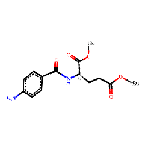 CC(C)(C)OC(=O)CC[C@@H](NC(=O)c1ccc(N)cc1)C(=O)OC(C)(C)C